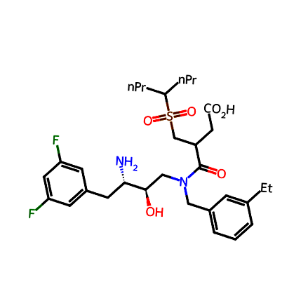 CCCC(CCC)S(=O)(=O)CC(CC(=O)O)C(=O)N(Cc1cccc(CC)c1)C[C@@H](O)[C@@H](N)Cc1cc(F)cc(F)c1